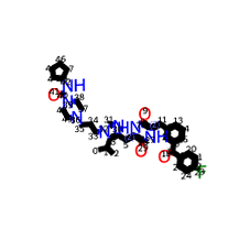 CC(C)c1c(/C=c2\[nH]c(=O)/c(=C/c3cccc(C(=O)c4ccc(F)cc4)c3)[nH]c2=O)ncn1CCCN1CCN(C(=O)NC2CCCC2)CC1